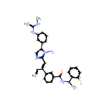 C=C/C(=C\c1ncc(-c2cccc(NC(=C)NC)c2)n1N)c1cccc(C(=O)NC(C)c2ccccc2F)c1